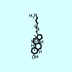 C[C@]12CC[C@H](O)C[C@H]1CC[C@@H]1[C@@H]2CC[C@]2(C)[C@@H](C=NOCCCN)CC[C@]12O